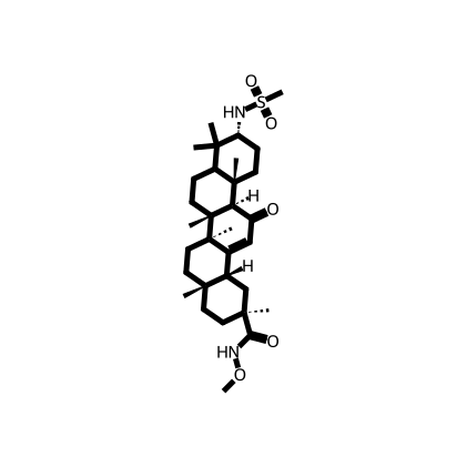 CONC(=O)[C@@]1(C)CC[C@]2(C)CC[C@]3(C)C(=CC(=O)[C@@H]4[C@@]5(C)CC[C@@H](NS(C)(=O)=O)C(C)(C)C5CC[C@]43C)[C@@H]2C1